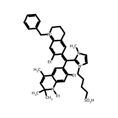 CCc1cc2c(cc1/C(c1n(C)cc[n+]1CCCCS(=O)(=O)O)=c1/cc3c(cc1CC)=[N+](Cc1ccccc1)CCC3)C(C)=CC(C)(C)N2CC